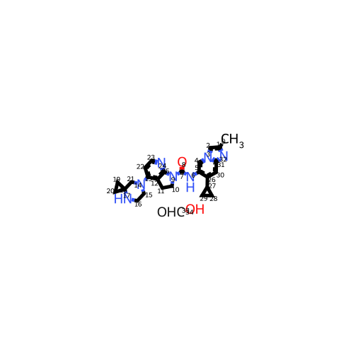 Cc1cn2cc(NC(=O)N3CCc4c(N5CCNC6(CC6)C5)ccnc43)c(C3CC3)cc2n1.O=CO